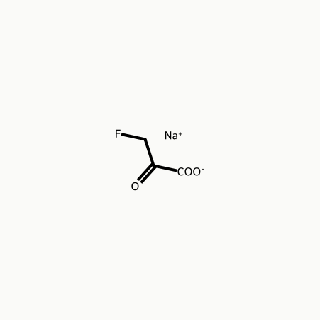 O=C([O-])C(=O)CF.[Na+]